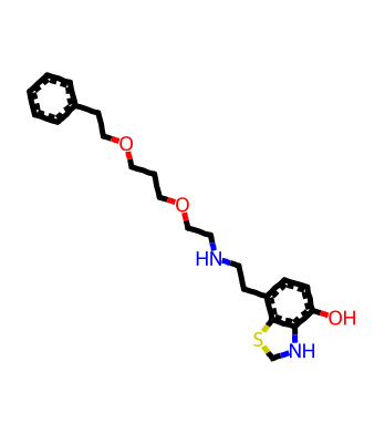 Oc1ccc(CCNCCOCCCOCCc2ccccc2)c2c1NCS2